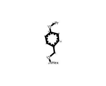 [CH2]CCCCCOCc1ccc(OC(C)C)cc1